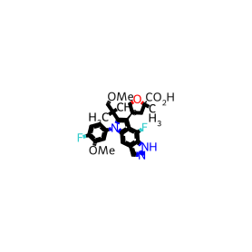 COCC(C)(C)c1c([C@H]2CO[C@](C)(C(=O)O)C2)c2c(F)c3[nH]ncc3cc2n1-c1ccc(F)c(OC)c1